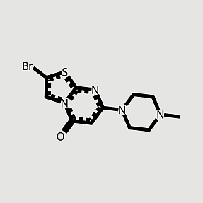 CN1CCN(c2cc(=O)n3cc(Br)sc3n2)CC1